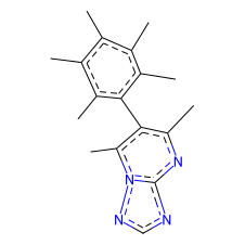 Cc1nc2ncnn2c(C)c1-c1c(C)c(C)c(C)c(C)c1C